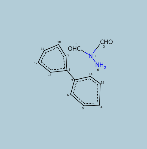 NN(C=O)C=O.c1ccc(-c2ccccc2)cc1